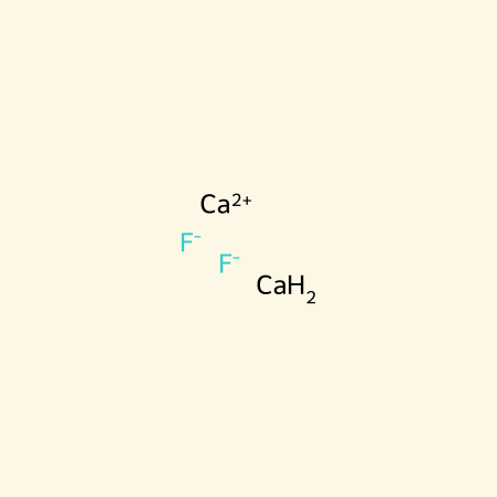 [Ca+2].[CaH2].[F-].[F-]